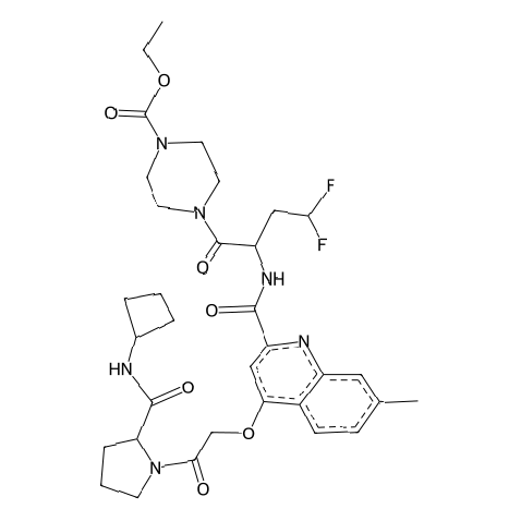 CCOC(=O)N1CCN(C(=O)C(CC(F)F)NC(=O)c2cc(OCC(=O)N3CCCC3C(=O)NC3CCC3)c3ccc(C)cc3n2)CC1